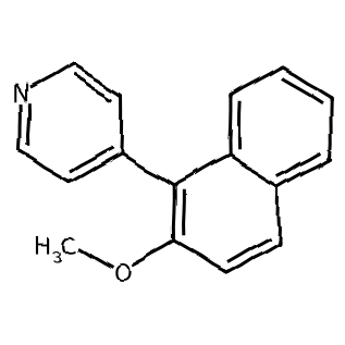 COc1ccc2ccccc2c1-c1ccncc1